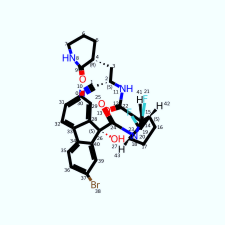 N#C[C@H](C[C@H]1CCCNC1=O)NC(=O)[C@@H]1[C@@H]2CC[C@@H](CC2(F)F)N1C(=O)[C@]1(O)c2ccccc2-c2ccc(Br)cc21